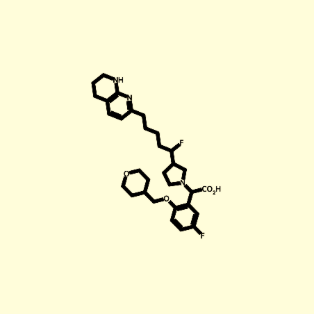 O=C(O)C(c1cc(F)ccc1OCC1CCOCC1)N1CCC(C(F)CCCCc2ccc3c(n2)NCCC3)C1